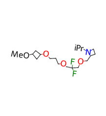 COC1CC(OCCCOCC(F)(F)COCC2CCN2C(C)C)C1